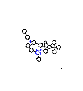 c1ccc(-c2ccc(-n3c4ccccc4c4cc(-c5ccc6c(c5)N(c5nc(-c7ccccc7)nc(-c7ccccc7)n5)c5ccccc5C65c6ccccc6-c6c5ccc5c6-c6ccccc6C5(c5ccccc5)c5ccccc5)ccc43)cc2)cc1